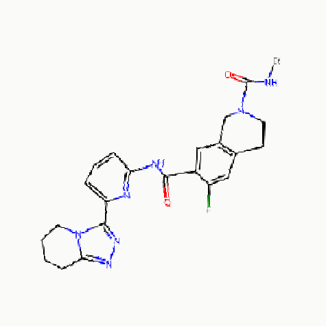 CCNC(=O)N1CCc2cc(F)c(C(=O)Nc3cccc(-c4nnc5n4CCCC5)n3)cc2C1